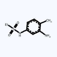 CCS(=O)(=O)Nc1ccc(C)c(N)c1